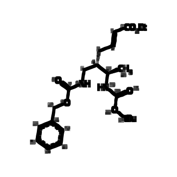 CCOC(=O)C=CC[C@@H](CNC(=O)OCc1ccccc1)[C@@H](C)NC(=O)OC(C)(C)C